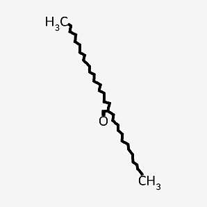 CCCCCCCCCCCCCCCCCCC(C=O)CCCCCCCCCCCCCC